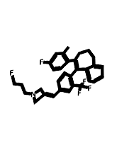 Cc1cc(F)ccc1C1=C(c2ccc(C=C3CN(CCCF)C3)cc2C(F)(F)F)c2ccccc2CCC1